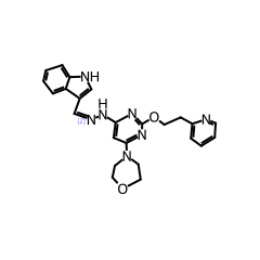 C(=N/Nc1cc(N2CCOCC2)nc(OCCc2ccccn2)n1)/c1c[nH]c2ccccc12